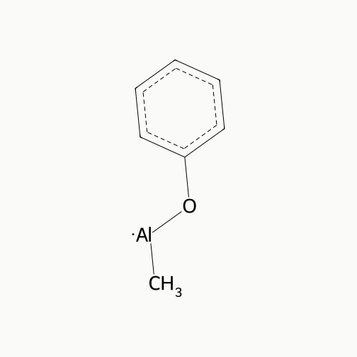 [CH3][Al][O]c1ccccc1